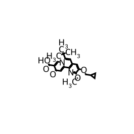 COc1nc2c(cc1OCC1CC1)cc(C(C)(C)C)n1cc(C(=O)O)c(=O)cc21